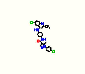 Cc1c(C(=O)NC2CCC(Nc3cc(C(F)(F)F)nc4ccc(Cl)cc34)CC2)cnn1-c1ccc(Cl)cc1